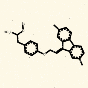 CCOC(Cc1ccc(OCC=C2c3cc(C)ccc3-c3ccc(C)cc32)cc1)C(=O)O